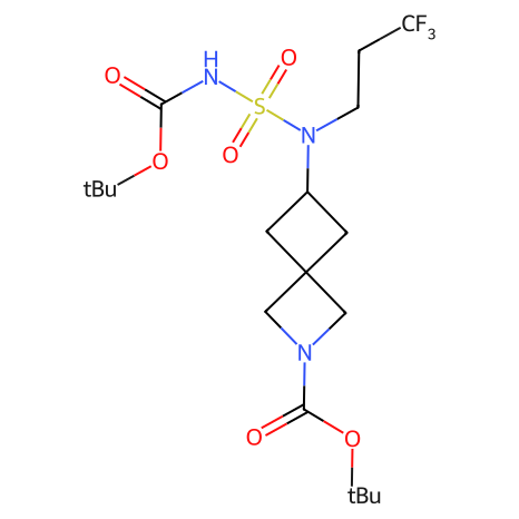 CC(C)(C)OC(=O)NS(=O)(=O)N(CCC(F)(F)F)C1CC2(C1)CN(C(=O)OC(C)(C)C)C2